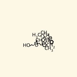 C=C1C[C@H](CCCO)OC1CCC1C[C@@H](C)C(=C)C(C[C@@H]2O[C@H](C[C@H](C)CC)[C@H](C)[C@H]2CS(=O)(=O)c2ccccc2)O1